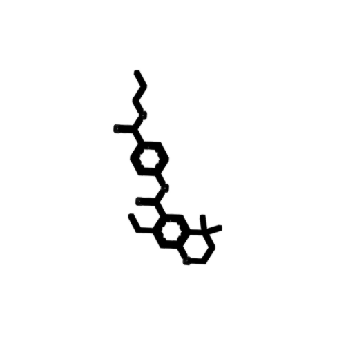 CCCOC(=O)c1ccc(OC(=O)c2cc3c(cc2CC)OCCC3(C)C)cc1